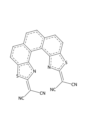 N#CC(C#N)=c1nc2c(ccc3ccc4ccc5sc(=C(C#N)C#N)nc5c4c32)s1